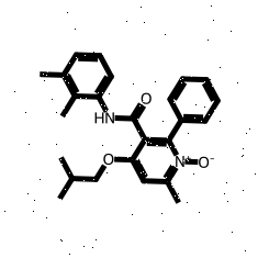 Cc1cccc(NC(=O)c2c(OCC(C)C)cc(C)[n+]([O-])c2-c2ccccc2)c1C